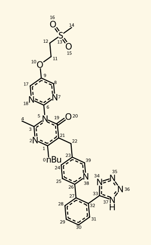 CCCCc1nc(C)n(-c2ncc(OCCS(C)(=O)=O)cn2)c(=O)c1Cc1ccc(-c2ccccc2-c2nnn[nH]2)nc1